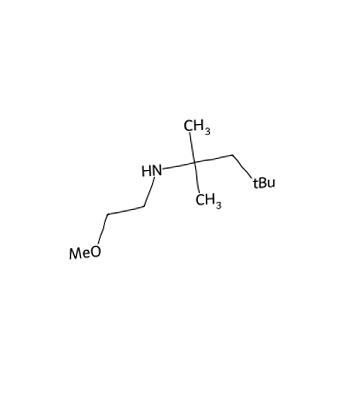 COCCNC(C)(C)CC(C)(C)C